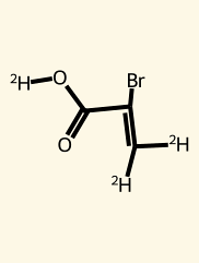 [2H]OC(=O)C(Br)=C([2H])[2H]